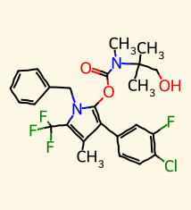 Cc1c(-c2ccc(Cl)c(F)c2)c(OC(=O)N(C)C(C)(C)CO)n(Cc2ccccc2)c1C(F)(F)F